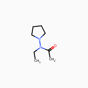 [CH2]C(=O)N(CC)N1CCCC1